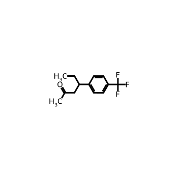 CCC(CC(C)=O)c1ccc(C(F)(F)F)cc1